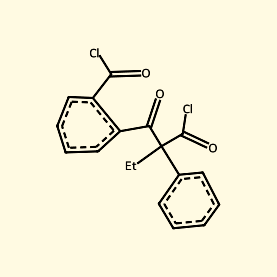 CCC(C(=O)Cl)(C(=O)c1ccccc1C(=O)Cl)c1ccccc1